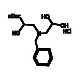 CCCCCCCCCCC(O)CN(Cc1ccccc1)CC(O)O.Cl